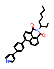 CCCCCC(CC)N1C(=O)c2ccc(-c3ccc(-c4ccncc4)cc3)c3cccc(c23)C1O